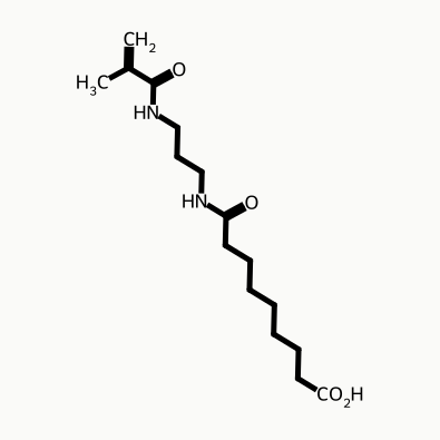 C=C(C)C(=O)NCCCNC(=O)CCCCCCCC(=O)O